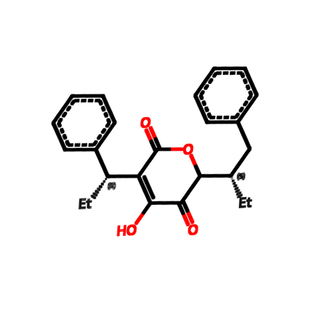 CC[C@@H](Cc1ccccc1)C1OC(=O)C([C@H](CC)c2ccccc2)=C(O)C1=O